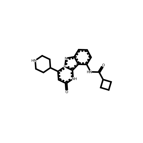 O=C(Nc1cccc2nn3c(C4CCNCC4)cc(=O)[nH]c3c12)C1CCC1